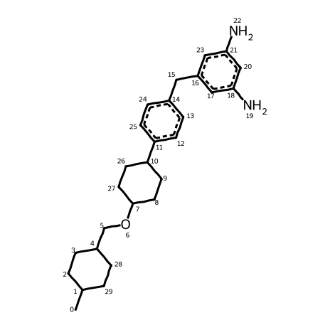 CC1CCC(COC2CCC(c3ccc(Cc4cc(N)cc(N)c4)cc3)CC2)CC1